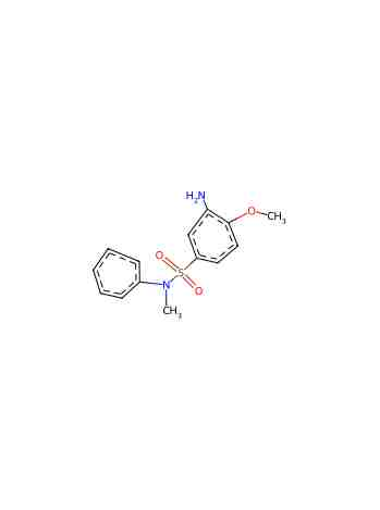 COc1ccc(S(=O)(=O)N(C)c2ccccc2)cc1N